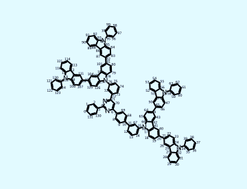 c1ccc(-c2nc(-c3ccc(-c4cccc(-n5c6ccc(-c7ccc8c(c7)c7ccccc7n8-c7ccccc7)cc6c6cc(-c7ccc8c(c7)c7ccccc7n8-c7ccccc7)ccc65)c4)cc3)cc(-c3cccc(-n4c5ccc(-c6ccc7c(c6)c6ccccc6n7-c6ccccc6)cc5c5cc(-c6ccc7c(c6)c6ccccc6n7-c6ccccc6)ccc54)c3)n2)cc1